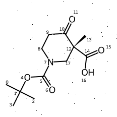 CC(C)(C)OC(=O)N1CCC(=O)[C@](C)(C(=O)O)C1